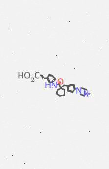 CN1CCN(c2ccc(CC3(C(=O)Nc4cccc(/C=C/C(=O)O)c4)CCCCC3)cc2)CC1